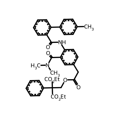 CCOC(=O)C(COC(=O)Cc1ccc(NC(=O)c2ccccc2-c2ccc(C)cc2)c(C(=O)N(C)C)c1)(C(=O)OCC)c1ccccc1